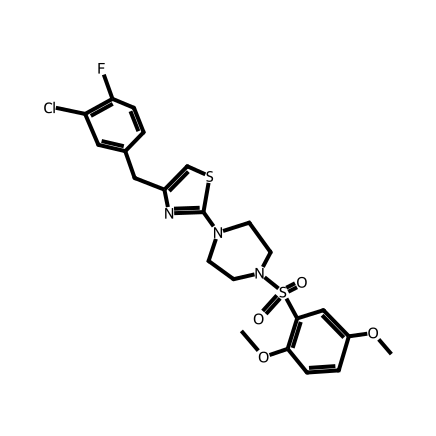 COc1ccc(OC)c(S(=O)(=O)N2CCN(c3nc(Cc4ccc(F)c(Cl)c4)cs3)CC2)c1